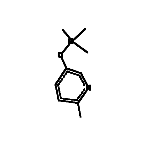 Cc1ccc(O[Si](C)(C)C)cn1